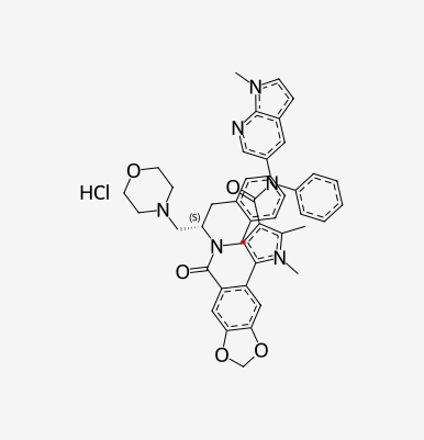 Cc1c(C(=O)N(c2ccccc2)c2cnc3c(ccn3C)c2)cc(-c2cc3c(cc2C(=O)N2Cc4ccccc4C[C@H]2CN2CCOCC2)OCO3)n1C.Cl